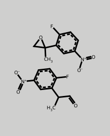 CC(C=O)c1cc([N+](=O)[O-])ccc1F.CC1(c2cc([N+](=O)[O-])ccc2F)CO1